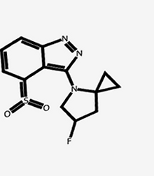 O=S(=O)=C1C=CC=C2N=NC(N3CC(F)CC34CC4)=C21